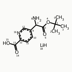 CC(C)(C)OC(=O)C(N)c1ccc(C(=O)O)nc1.[LiH]